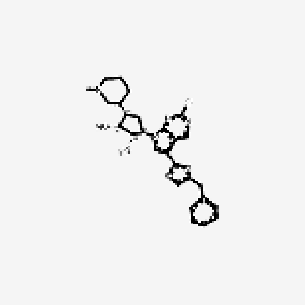 CN1CCCC([C@H]2C[C@@H](n3cc(-c4nc(Cc5ccccc5)cs4)c4cnc(Cl)nc43)[C@H](O)[C@@H]2O)C1